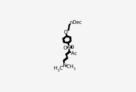 CCCCCCCCCCCCOc1ccc(S(=O)(=O)C(=CC=CN(C)C)C(C)=O)cc1